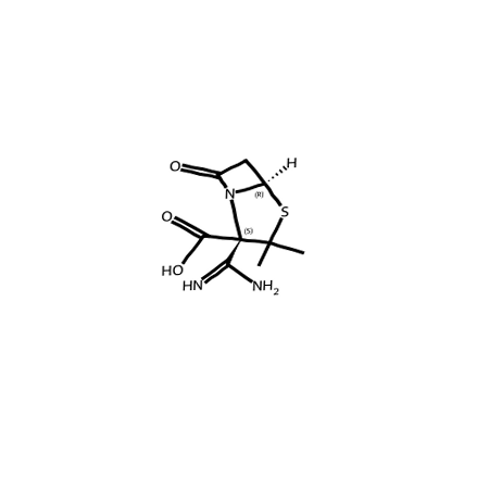 CC1(C)S[C@@H]2CC(=O)N2[C@@]1(C(=N)N)C(=O)O